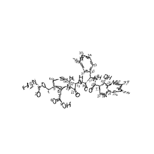 NC(=O)OCC1=C(C(=O)O)N2C(=O)C(NC(=O)C(NC(=O)c3cnc4cccnc4c3O)c3ccccc3)[C@H]2SC1